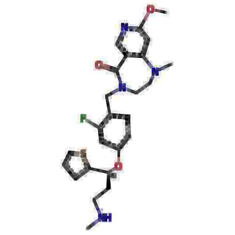 CNCC[C@H](Oc1ccc(CN2CCN(C)c3cc(OC)ncc3C2=O)c(F)c1)c1cccs1